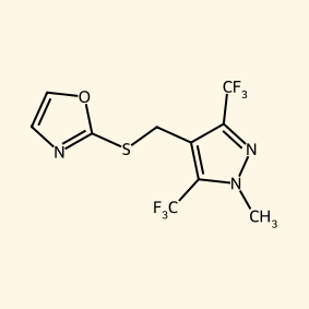 Cn1nc(C(F)(F)F)c(CSc2ncco2)c1C(F)(F)F